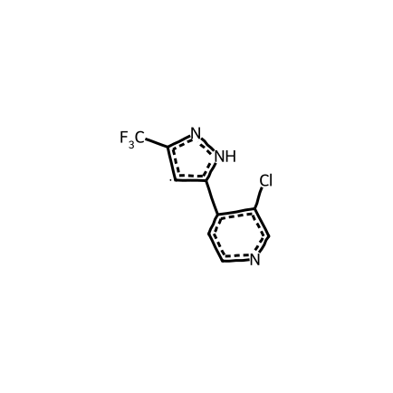 FC(F)(F)c1[c]c(-c2ccncc2Cl)[nH]n1